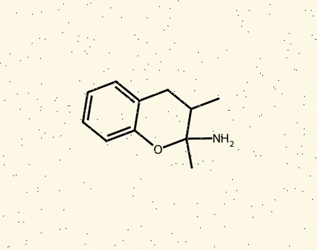 CC1Cc2ccccc2OC1(C)N